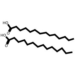 CCCCCCCCCCCCCC(=O)O.CCCCCCCCCCCCCC(=O)O